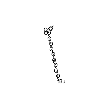 Cc1ccc(S(=O)(=O)OCCOCCOCCOCCOCCOCCOCCOCCOCCC(C)(C)C)cc1